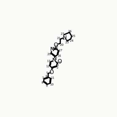 O=c1cc(OCc2ccccc2)ccn1-c1ccc(OCCN2CCCCC2)nc1